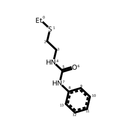 CCSCCNC(=O)Nc1ccccc1